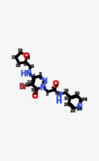 O=C(Cn1ncc(NCC2CCCO2)c(Br)c1=O)NCc1ccncc1